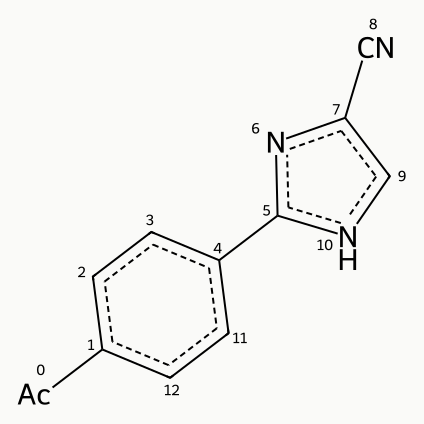 CC(=O)c1ccc(-c2nc(C#N)c[nH]2)cc1